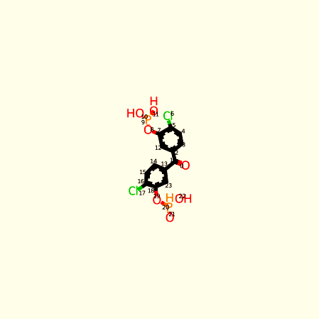 O=C(c1ccc(Cl)c(OP(O)O)c1)c1ccc(Cl)c(O[PH](=O)O)c1